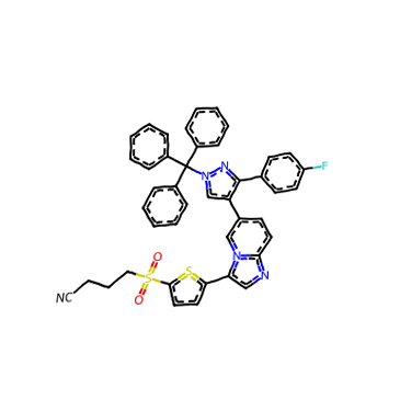 N#CCCCS(=O)(=O)c1ccc(-c2cnc3ccc(-c4cn(C(c5ccccc5)(c5ccccc5)c5ccccc5)nc4-c4ccc(F)cc4)cn23)s1